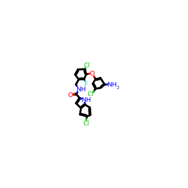 Nc1cc(Cl)cc(Oc2c(Cl)ccc(CNC(=O)c3cc4cc(Cl)ccc4[nH]3)c2F)c1